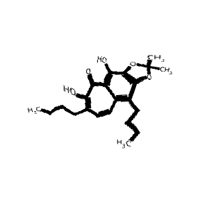 CCCCc1ccc2c(CCCC)c3c(c(O)c2c(=O)c1O)OC(C)(C)O3